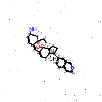 C[C@]12CC=C3C=C4C=C[C@@H](N)C[C@]45CC[C@]3(O5)[C@@H]1CC[C@H]2c1ccc2ccncc2c1